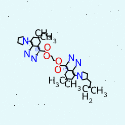 C=C(C)CC1CCN(C2=C(C#N)/C(=C(\C#N)C(=O)OCCOC(=O)/C(C#N)=C3\CC(C)(C)CC(N4CCCC4)=C3C#N)CC(C)(C)C2)C1